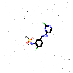 CC(C)(C)S(=O)(=O)Nc1cc(CNc2ccnc(Cl)n2)ccc1Cl